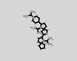 CC(C)N1CCC(C2CCC3(COC(C4CCC5(CCCC5)N4C(C)C)C3)N2C(C)C)CC1